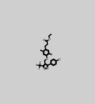 CCOC(=O)CCc1cc(F)c(OCc2c(-c3ccc(Cl)cc3)nsc2C(F)(F)F)cc1C